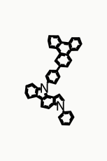 c1ccc(-n2ccc3c2ccc2c4ccccc4n(-c4ccc(-c5ccc6c7ccccc7c7ccccc7c6c5)cc4)c23)cc1